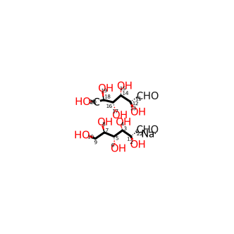 O=C[C@H](O)[C@@H](O)[C@H](O)[C@H](O)CO.O=C[C@H](O)[C@@H](O)[C@H](O)[C@H](O)CO.[Na]